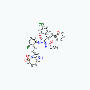 COC(=O)N[C@H](C(=O)Nc1cccc(F)c1CCC1CNC2CCCS(=O)(=O)N1C2)[C@H](CCC1CCCCO1)c1ccc(Cl)cc1